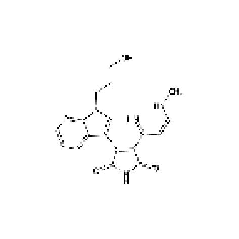 CN/C=C\C(=N)C1=C(c2cn(CCCO)c3ncccc23)C(=O)NC1=O